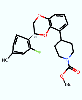 CC(C)(C)OC(=O)N1CCC(c2cccc3c2O[C@H](c2ccc(C#N)cc2F)CO3)CC1